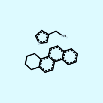 NCc1ccoc1.c1ccc2c(c1)ccc1c3c(ccc12)CCCC3